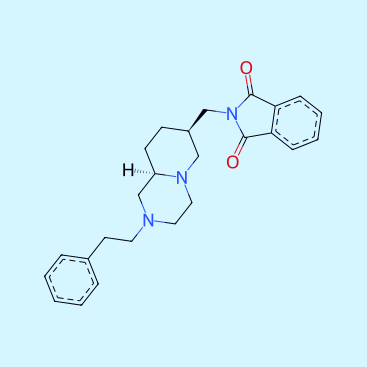 O=C1c2ccccc2C(=O)N1C[C@@H]1CC[C@@H]2CN(CCc3ccccc3)CCN2C1